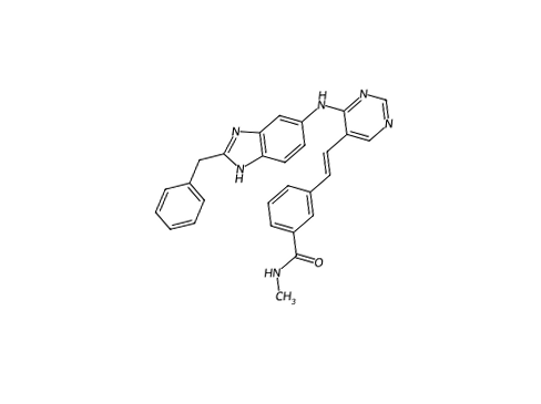 CNC(=O)c1cccc(C=Cc2cncnc2Nc2ccc3[nH]c(Cc4ccccc4)nc3c2)c1